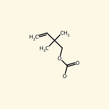 C=CC(C)(C)COC([O])=O